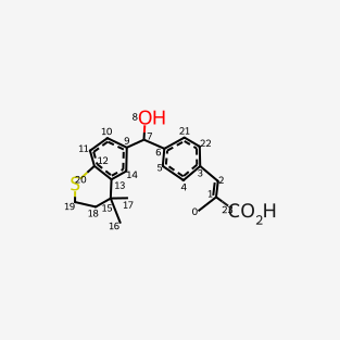 CC(=Cc1ccc(C(O)c2ccc3c(c2)C(C)(C)CCS3)cc1)C(=O)O